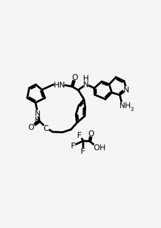 Nc1nccc2cc(NC3C(=O)NCc4cccc(c4)NC(=O)CCCCc4ccc3cc4)ccc12.O=C(O)C(F)(F)F